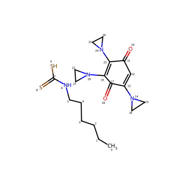 CCCCCCNC(=S)S.O=C1C=C(N2CC2)C(=O)C(N2CC2)=C1N1CC1